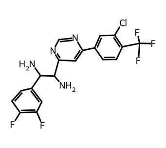 NC(c1ccc(F)c(F)c1)C(N)c1cc(-c2ccc(C(F)(F)F)c(Cl)c2)ncn1